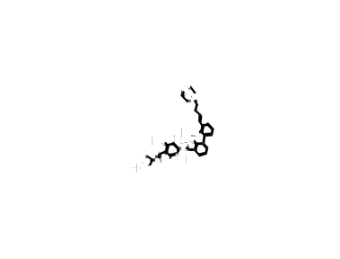 Cc1cc(OCc2cccc(-c3cccc(/C=C/CCN4CCOCC4)c3C)c2C)c(Cl)cc1CNC(CO)CO